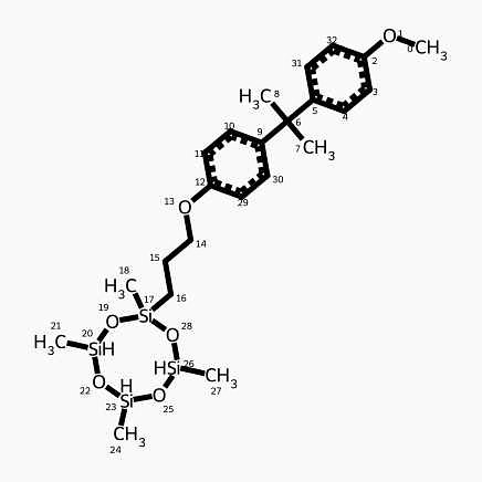 COc1ccc(C(C)(C)c2ccc(OCCC[Si]3(C)O[SiH](C)O[SiH](C)O[SiH](C)O3)cc2)cc1